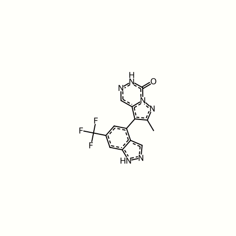 Cc1nn2c(=O)[nH]ncc2c1-c1cc(C(F)(F)F)cc2[nH]ncc12